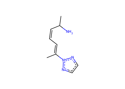 C/C(=C\C=C/C(C)N)n1nccn1